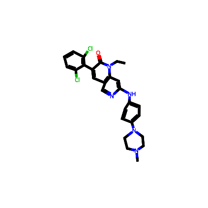 CCn1c(=O)c(-c2c(Cl)cccc2Cl)cc2cnc(Nc3ccc(N4CCN(C)CC4)cc3)cc21